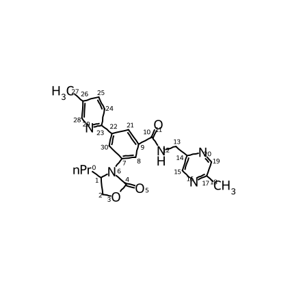 CCCC1COC(=O)N1c1cc(C(=O)NCc2cnc(C)cn2)cc(-c2ccc(C)cn2)c1